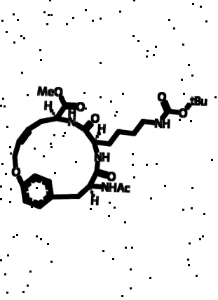 COC(=O)[C@@H]1CC=CCOc2ccc(cc2)C[C@H](NC(C)=O)C(=O)N[C@H](CCCCNC(=O)OC(C)(C)C)C(=O)N1